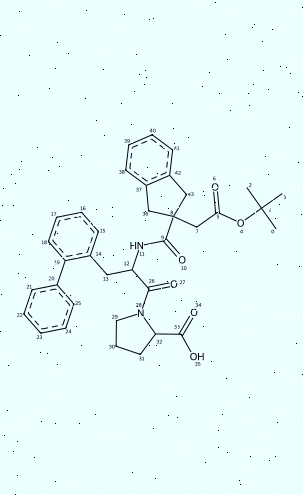 CC(C)(C)OC(=O)CC1(C(=O)NC(Cc2ccccc2-c2ccccc2)C(=O)N2CCCC2C(=O)O)Cc2ccccc2C1